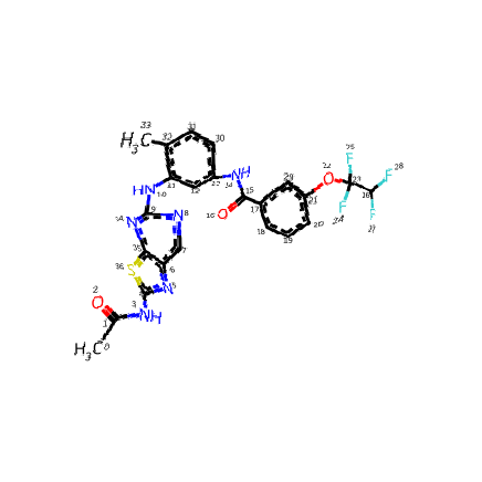 CC(=O)Nc1nc2cnc(Nc3cc(NC(=O)c4cccc(OC(F)(F)C(F)F)c4)ccc3C)nc2s1